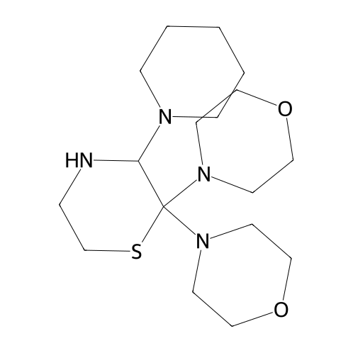 C1CCN(C2NCCSC2(N2CCOCC2)N2CCOCC2)CC1